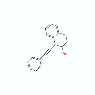 OC1CCc2ccccc2C1C#Cc1ccccc1